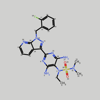 CCN(c1c(N)nc(-c2nn(Cc3ccccc3F)c3ncccc23)nc1N)S(=O)(=O)N(C)C